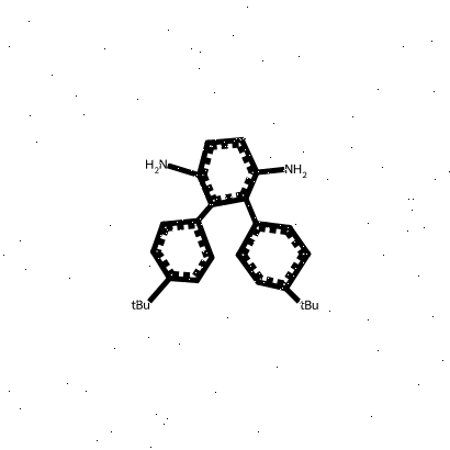 CC(C)(C)c1ccc(-c2c(N)ccc(N)c2-c2ccc(C(C)(C)C)cc2)cc1